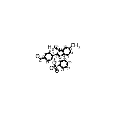 Cc1ccc2sc(-c3ccc(C=O)cc3)[n+](C)c2c1.O=S(=O)([O-])c1ccccc1